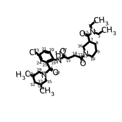 CCN(CC)C(=O)C1CCCN(C(=O)CCC(=O)Nc2ccc(Cl)cc2C(=O)N2C[C@H](C)C[C@H](C)C2)C1